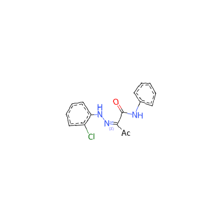 CC(=O)/C(=N/Nc1ccccc1Cl)C(=O)Nc1ccccc1